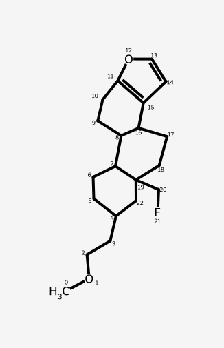 COCCC1CCC2C3CCc4occc4C3CCC2(CF)C1